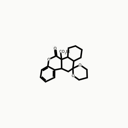 CCOC(=O)C12C(=O)Oc3ccccc3C1CC1(OCCCO1)C1CCCCC12